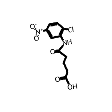 O=C(O)CCCC(=O)Nc1cc([N+](=O)[O-])ccc1Cl